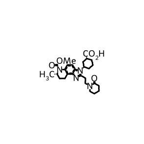 COC(=O)N1c2ccc3c(nc(CCN4CCCCC4=O)n3[C@@H]3CCC[C@@H](C(=O)O)C3)c2CC[C@@H]1C